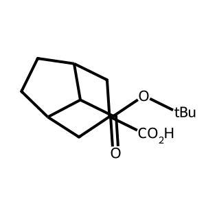 CC(C)(C)OC(=O)C1C2CCC1CC(C(=O)O)C2